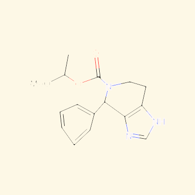 COC(C)OC(=O)N1CCc2[nH]cnc2C1c1ccccc1